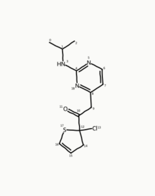 CC(C)Nc1nccc(CC(=O)C2(Cl)CC=CS2)n1